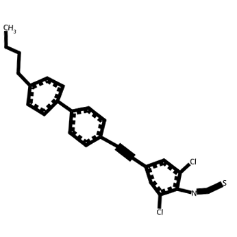 CCCCc1ccc(-c2ccc(C#Cc3cc(Cl)c(N=C=S)c(Cl)c3)cc2)cc1